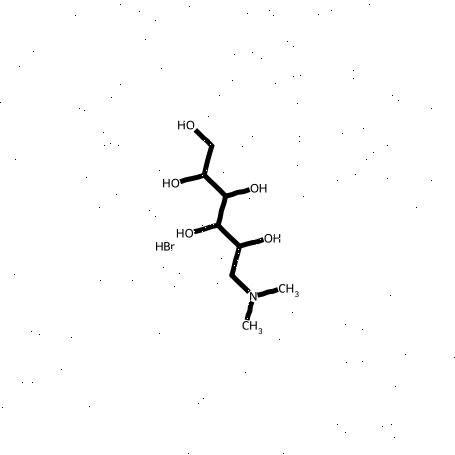 Br.CN(C)CC(O)C(O)C(O)C(O)CO